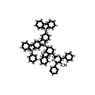 N#Cc1c(-c2ccccc2)nc(-c2ccc(-n3c4ccc(-n5c6ccccc6c6ccccc65)cc4c4cc5c6ccccc6n(-c6ccccc6)c5cc43)c3oc4ccccc4c23)nc1-c1ccccc1